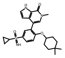 Cn1cc(-c2cc(S(=N)(=O)C3CC3)ccc2OC2CCC(C)(C)CC2)c2cc[nH]c2c1=O